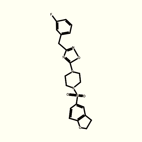 O=S(=O)(c1ccc2c(c1)CCO2)N1CCN(c2nc(Cc3cccc(F)c3)no2)CC1